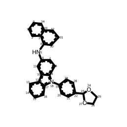 c1ccc2c(Nc3ccc4c(c3)c3ccccc3n4-c3ccc(C4OCCO4)cc3)cccc2c1